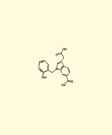 O=C(O)Cc1cn(Cc2ccccc2O)c2cc(C(=O)O)ccc12